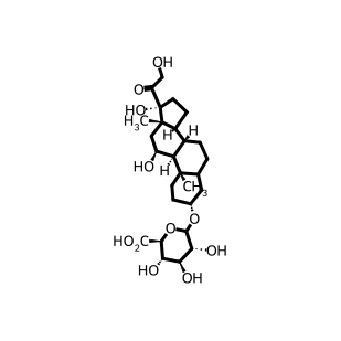 C[C@]12CC[C@@H](OC3O[C@H](C(=O)O)[C@@H](O)[C@H](O)[C@H]3O)CC1CC[C@@H]1[C@@H]2[C@@H](O)C[C@@]2(C)[C@H]1CC[C@]2(O)C(=O)CO